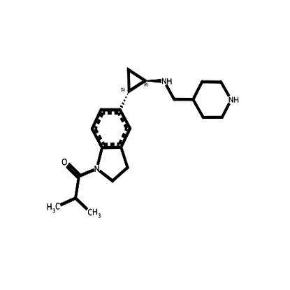 CC(C)C(=O)N1CCc2cc([C@@H]3C[C@H]3NCC3CCNCC3)ccc21